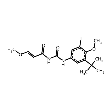 CO/C=C/C(=O)NC(=O)Nc1cc(I)c(OC)c(C(C)(C)C)c1